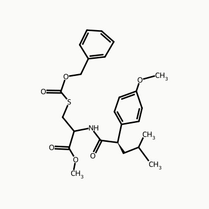 COC(=O)C(CSC(=O)OCc1ccccc1)NC(=O)[C@H](CC(C)C)c1ccc(OC)cc1